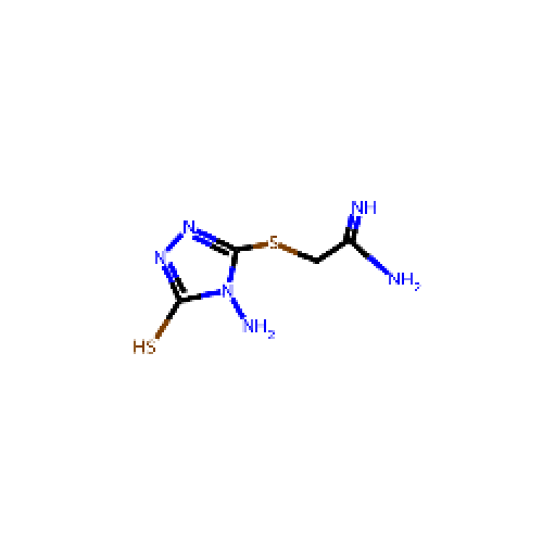 N=C(N)CSc1nnc(S)n1N